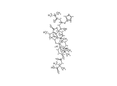 CC(C)C1=C2[C@H]3CC[C@@H]4[C@@]5(C)CC[C@H](OC(=O)CC(C)(C)C(=O)O)C(C)(C)[C@H]5CC[C@@]4(C)[C@]3(C)CCC2(C(O)CN(CC(=O)N(C)C)Cc2nccs2)CC1=O